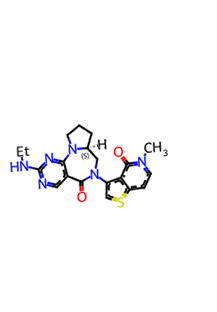 CCNc1ncc2c(n1)N1CCC[C@H]1CN(c1csc3ccn(C)c(=O)c13)C2=O